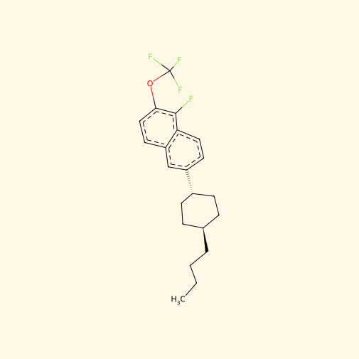 CCCC[C@H]1CC[C@H](c2ccc3c(F)c(OC(F)(F)F)ccc3c2)CC1